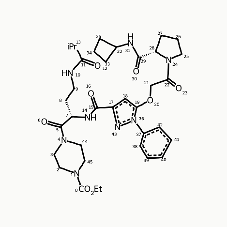 CCOC(=O)N1CCN(C(=O)[C@H](CCNC(=O)C(C)C)NC(=O)c2cc(OCC(=O)N3CCC[C@H]3C(=O)NC3CCC3)n(-c3ccccc3)n2)CC1